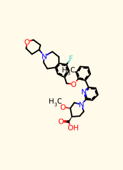 CO[C@H]1CN(c2cccc(-c3cccc(C)c3OCc3cc(F)c4c(c3)CCN(C3CCOCC3)CC4)n2)CC[C@H]1C(=O)O